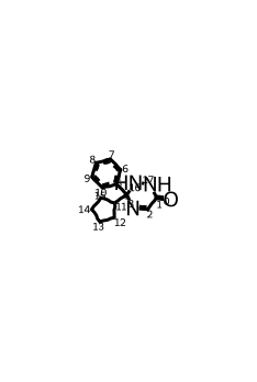 O=C1C=NC(c2ccccc2)(C2CCCC2)NN1